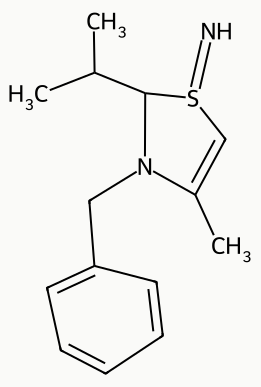 CC1=CS(=N)C(C(C)C)N1Cc1ccccc1